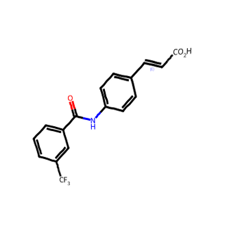 O=C(O)/C=C/c1ccc(NC(=O)c2cccc(C(F)(F)F)c2)cc1